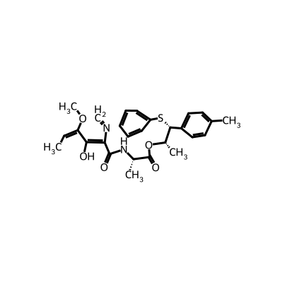 C=N/C(C(=O)N[C@@H](C)C(=O)O[C@@H](C)[C@H](Sc1ccccc1)c1ccc(C)cc1)=C(O)\C(=C/C)OC